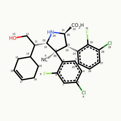 N#C[C@]1(c2ccc(Cl)cc2F)[C@H](C(CO)C2CC=CCC2)N[C@@H](C(=O)O)[C@@H]1c1cccc(Cl)c1F